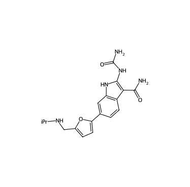 CC(C)NCc1ccc(-c2ccc3c(C(N)=O)c(NC(N)=O)[nH]c3c2)o1